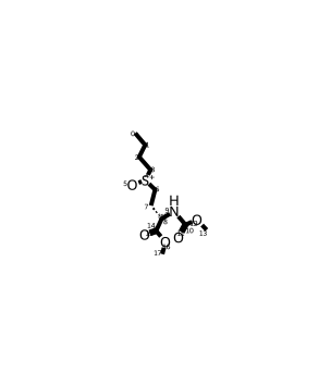 CCCC[S+]([O-])CC[C@H](NC(=O)OC)C(=O)OC